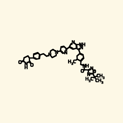 CC1CC(c2n[nH]c3ncc(-c4ccc(N5CCN(CCc6ccc(C7CCC(=O)NC7=O)cc6)CC5)cn4)cc23)=CC=C1CNC(=O)c1noc(C(C)(C)C)n1